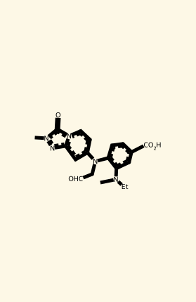 CCN(C)c1cc(C(=O)O)ccc1N(CC=O)c1ccn2c(=O)n(C)nc2c1